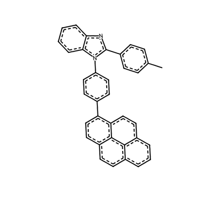 Cc1ccc(-c2nc3ccccc3n2-c2ccc(-c3ccc4ccc5cccc6ccc3c4c56)cc2)cc1